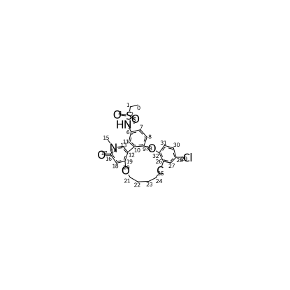 CCS(=O)(=O)Nc1ccc2c(c1)-c1cn(C)c(=O)cc1OCCCCCc1cc(Cl)ccc1O2